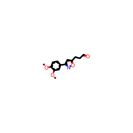 COc1ccc(-c2cc(CCC=O)on2)cc1OC